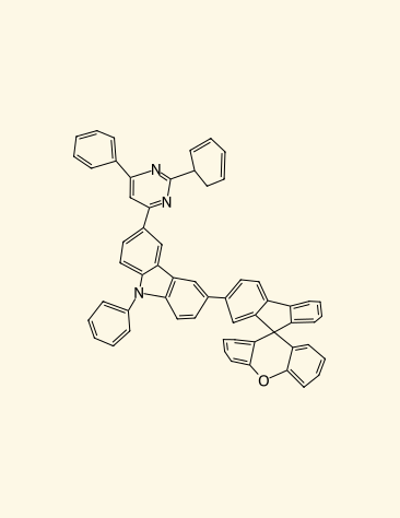 C1=CCC(c2nc(-c3ccccc3)cc(-c3ccc4c(c3)c3cc(-c5ccc6c(c5)C5(c7ccccc7Oc7ccccc75)c5ccccc5-6)ccc3n4-c3ccccc3)n2)C=C1